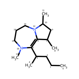 CCCC(C)C1=C2C(C)CC(C)N2CCCN1C